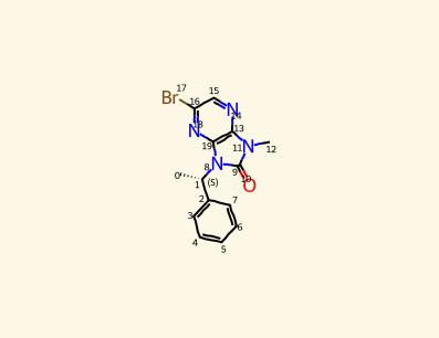 C[C@@H](c1ccccc1)n1c(=O)n(C)c2ncc(Br)nc21